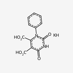 O=C(O)c1c(C(=O)O)n(-c2ccccc2)c(=O)[nH]c1=O.[KH]